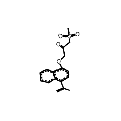 C=C(C)c1ccc(OCC(=O)CS(C)(=O)=O)c2ccccc12